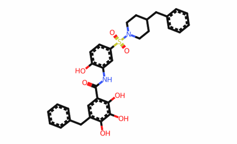 O=C(Nc1cc(S(=O)(=O)N2CCC(Cc3ccccc3)CC2)ccc1O)c1cc(Cc2ccccc2)c(O)c(O)c1O